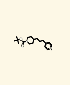 CC(C)(C)OC(=O)N1CCC(CCCc2ccncc2)CC1